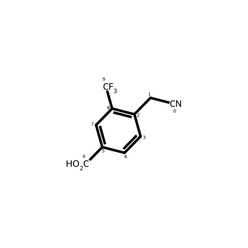 N#CCc1ccc(C(=O)O)cc1C(F)(F)F